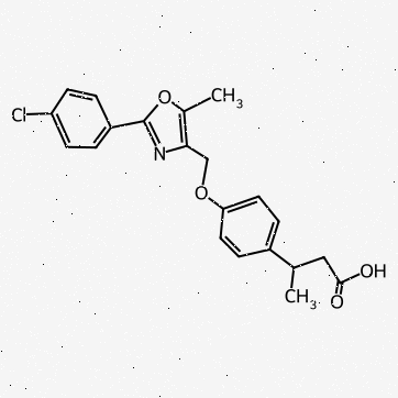 Cc1oc(-c2ccc(Cl)cc2)nc1COc1ccc(C(C)CC(=O)O)cc1